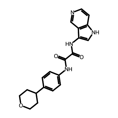 O=C(Nc1ccc(C2CCOCC2)cc1)C(=O)Nc1c[nH]c2ccncc12